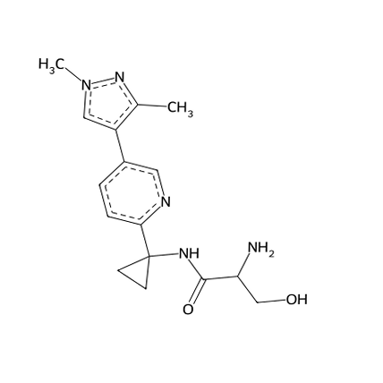 Cc1nn(C)cc1-c1ccc(C2(NC(=O)C(N)CO)CC2)nc1